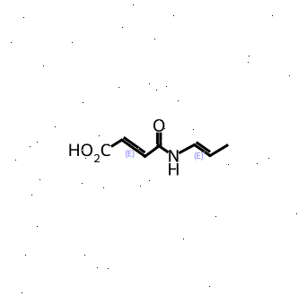 C/C=C/NC(=O)/C=C/C(=O)O